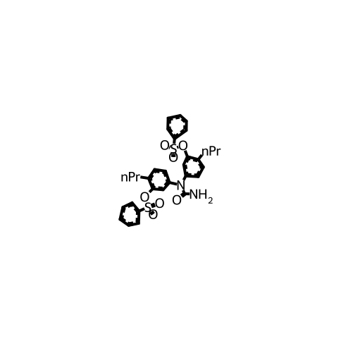 CCCc1ccc(N(C(N)=O)c2ccc(CCC)c(OS(=O)(=O)c3ccccc3)c2)cc1OS(=O)(=O)c1ccccc1